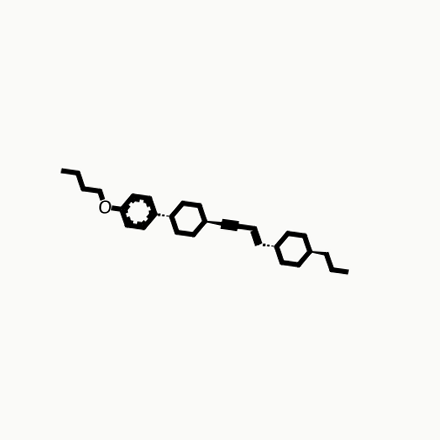 CCCCOc1ccc([C@H]2CC[C@H](C#C/C=C/[C@H]3CC[C@H](CCC)CC3)CC2)cc1